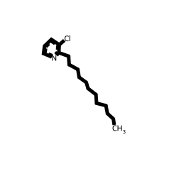 CCCCCCCCCCCCc1ncccc1Cl